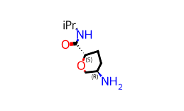 CC(C)NC(=O)[C@@H]1CC[C@@H](N)CO1